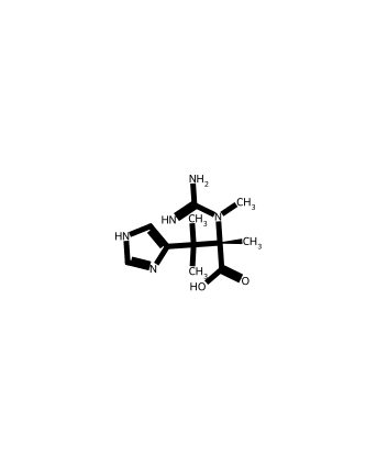 CN(C(=N)N)[C@](C)(C(=O)O)C(C)(C)c1c[nH]cn1